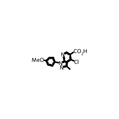 COc1ccc(-n2nc(C)c3c(Cl)c(C(=O)O)cnc32)cc1